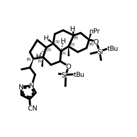 CCC[C@@]1(O[Si](C)(C)C(C)(C)C)CC[C@@]2(C)[C@H](CC[C@H]3[C@@H]4CC[C@H](C(C)Cn5cc(C#N)cn5)[C@@]4(C)CC(O[Si](C)(C)C(C)(C)C)[C@@H]32)C1